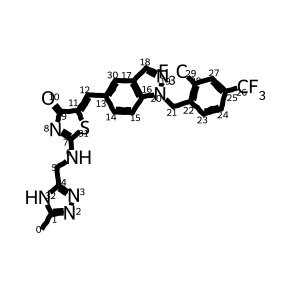 Cc1nnc(CNC2=NC(=O)/C(=C/c3ccc4c(cnn4Cc4ccc(C(F)(F)F)cc4C(F)(F)F)c3)S2)[nH]1